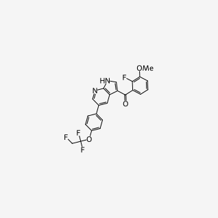 COc1cccc(C(=O)c2c[nH]c3ncc(-c4ccc(OC(F)(F)CF)cc4)cc23)c1F